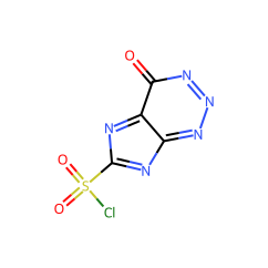 O=C1N=NN=C2N=C(S(=O)(=O)Cl)N=C12